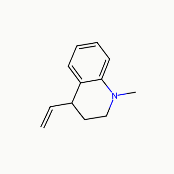 C=CC1CCN(C)c2ccccc21